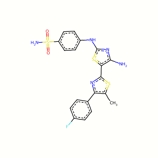 Cc1sc(-c2sc(Nc3ccc(S(N)(=O)=O)cc3)nc2N)nc1-c1ccc(F)cc1